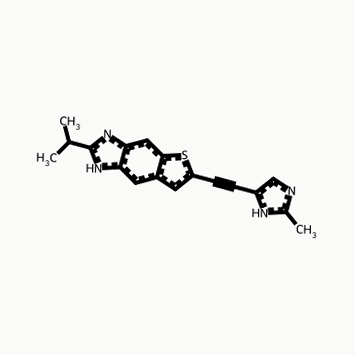 Cc1ncc(C#Cc2cc3cc4[nH]c(C(C)C)nc4cc3s2)[nH]1